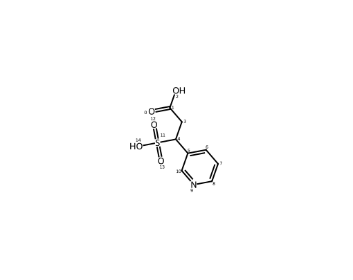 O=C(O)CC(c1cccnc1)S(=O)(=O)O